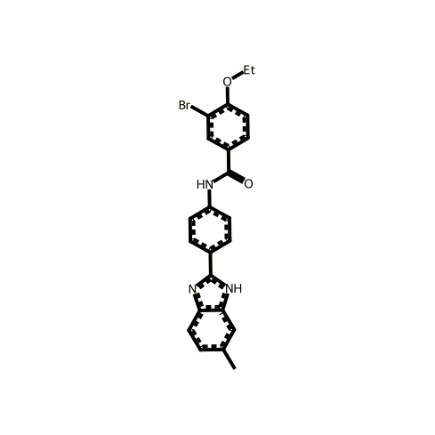 CCOc1ccc(C(=O)Nc2ccc(-c3nc4ccc(C)cc4[nH]3)cc2)cc1Br